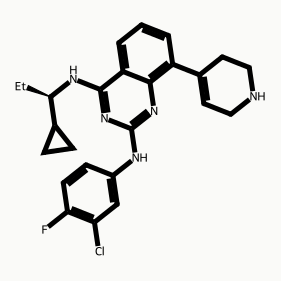 CC[C@@H](Nc1nc(Nc2ccc(F)c(Cl)c2)nc2c(C3=CCNCC3)cccc12)C1CC1